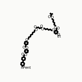 C=C(C)C(=O)OCCCCCCOC(=O)c1cc(OCC)ccc1OCCCCCCOC(=O)CCC(=O)OCCCCCCCCOc1ccc(C(=O)Oc2ccc(OC(=O)C3CCC(C4CCC(CCCCC)CC4)CC3)cc2)cc1